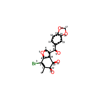 CC1=C(Br)c2occ(C(=O)c3ccc4c(c3)OCO4)c2C(=O)C1=O